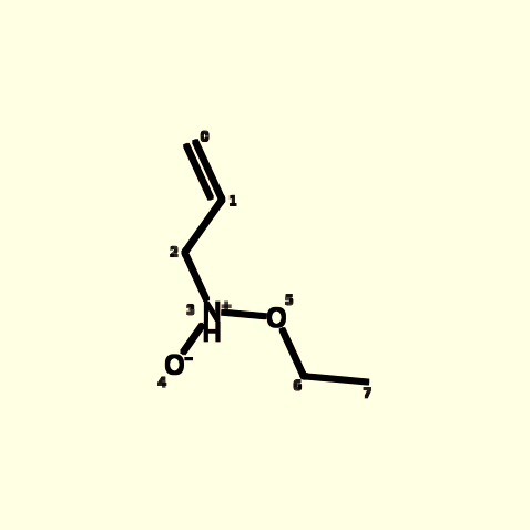 C=CC[NH+]([O-])OCC